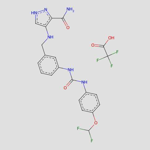 NC(=O)c1n[nH]cc1NCc1cccc(NC(=O)Nc2ccc(OC(F)F)cc2)c1.O=C(O)C(F)(F)F